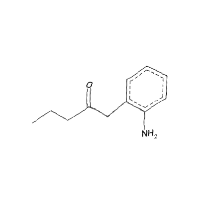 CCCC(=O)Cc1ccccc1N